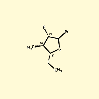 CC[C@H]1SC(Br)[C@@H](F)[C@@H]1C